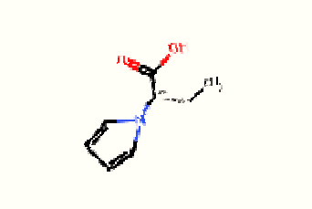 CC[C@@H](C(=O)O)n1cccc1